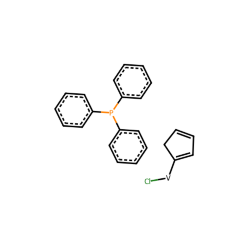 [Cl][V][C]1=CC=CC1.c1ccc(P(c2ccccc2)c2ccccc2)cc1